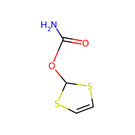 NC(=O)OC1SC=CS1